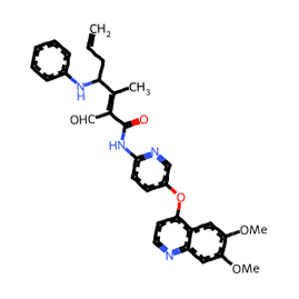 C=CCC(Nc1ccccc1)/C(C)=C(\C=O)C(=O)Nc1ccc(Oc2ccnc3cc(OC)c(OC)cc23)cn1